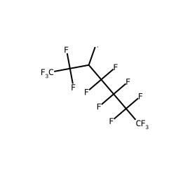 [CH2]C(C(F)(F)C(F)(F)F)C(F)(F)C(F)(F)C(F)(F)C(F)(F)F